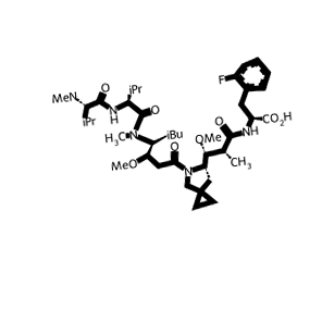 CC[C@H](C)[C@@H](C(CC(=O)N1CC2(CC2)C[C@H]1[C@H](OC)[C@@H](C)C(=O)N[C@@H](Cc1ccccc1F)C(=O)O)OC)N(C)C(=O)[C@@H](NC(=O)[C@@H](NC)C(C)C)C(C)C